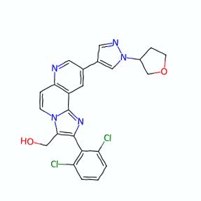 OCc1c(-c2c(Cl)cccc2Cl)nc2c3cc(-c4cnn(C5CCOC5)c4)cnc3ccn12